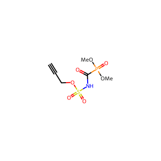 C#CCOS(=O)(=O)NC(=O)P(=O)(OC)OC